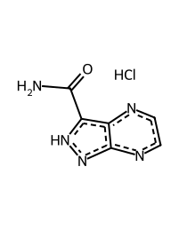 Cl.NC(=O)c1[nH]nc2nccnc12